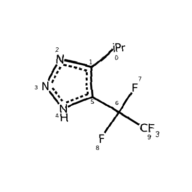 CC(C)c1nn[nH]c1C(F)(F)C(F)(F)F